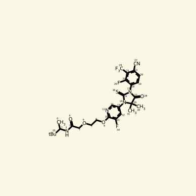 CC(NC(=O)COCCOc1ncc(N2C(=S)N(c3ccc(C#N)c(C(F)(F)F)c3F)C(=O)C2(C)C)cc1F)C(C)(C)C